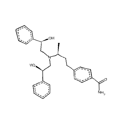 C[C@@H](CCc1ccc(C(N)=O)cc1)N(C[C@H](O)c1ccccc1)C[C@H](O)c1ccccc1